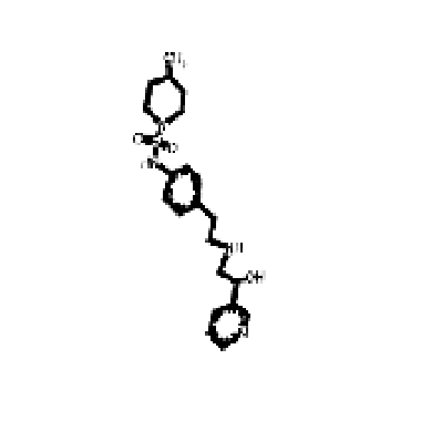 CC1CCN(S(=O)(=O)Nc2ccc(CCNC[C@@H](O)c3cccnc3)cc2)CC1